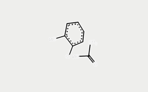 CC(=O)O.Oc1ccccc1Cl